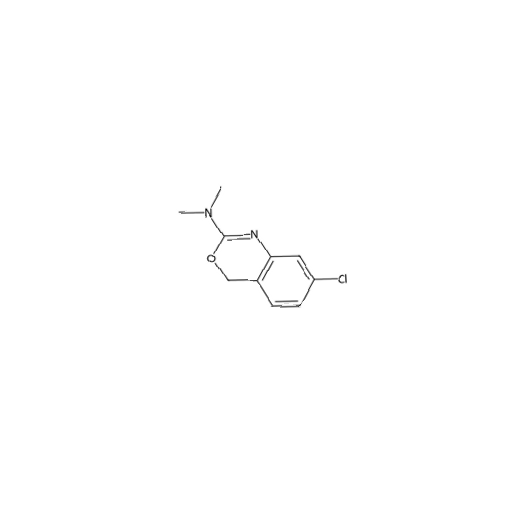 CN(C)C1=Nc2cc(Cl)ccc2CO1